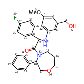 COc1cc(CO)cc(NC(C(=O)N2CCCOCC2c2ccccc2)c2ccc(F)cc2)c1